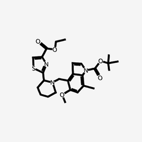 CCOC(=O)c1csc(C2CCCCN2Cc2c(OC)cc(C)c3c2ccn3C(=O)OC(C)(C)C)n1